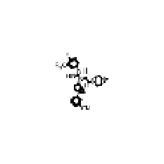 B=C(Nc1ccc(F)c(C(F)(F)F)c1)N(CCN1CCN(C)CC1)[C@@H]1CC[C@]2(c3cccc(C#N)c3)C[C@H]12